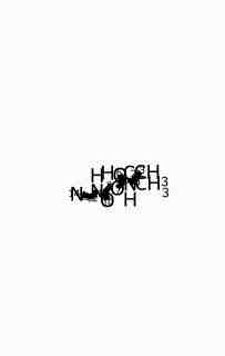 CC(C)(C)NC(=O)OCC(=O)NCC#N